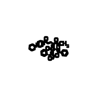 CNC(=O)[C@H](CCC(=O)N1CCN(C2CCCCC2)CC1)N1C(=O)[C@@H](N2C(=O)CO[C@@H]2c2ccccc2)[C@H]1/C=C/c1ccccc1